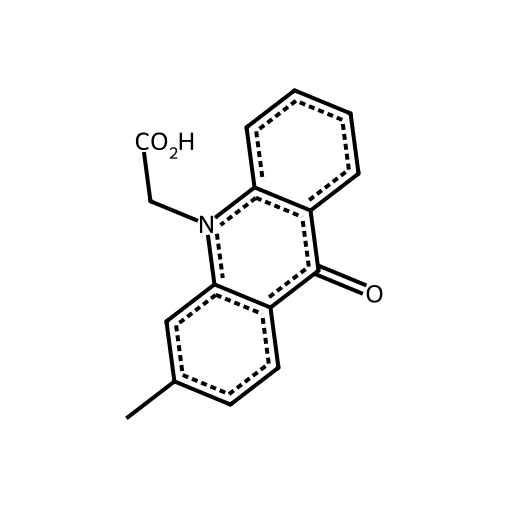 Cc1ccc2c(=O)c3ccccc3n(CC(=O)O)c2c1